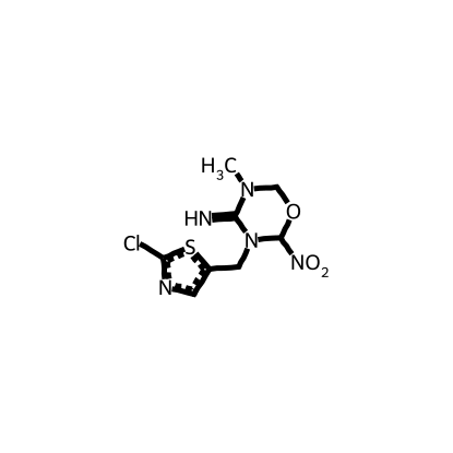 CN1COC([N+](=O)[O-])N(Cc2cnc(Cl)s2)C1=N